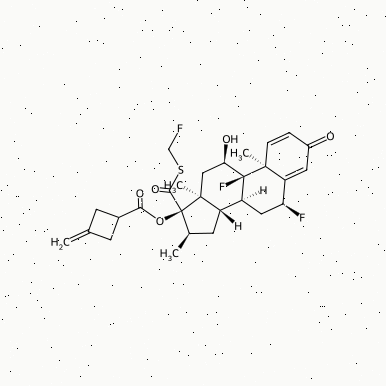 C=C1CC(C(=O)O[C@]2(C(=O)SCF)[C@H](C)C[C@H]3[C@@H]4C[C@H](F)C5=CC(=O)C=C[C@]5(C)[C@@]4(F)[C@H](O)C[C@@]32C)C1